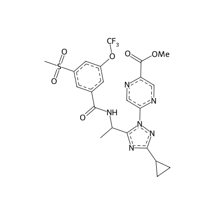 COC(=O)c1cnc(-n2nc(C3CC3)nc2C(C)NC(=O)c2cc(OC(F)(F)F)cc(S(C)(=O)=O)c2)cn1